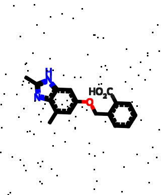 Cc1nc2c(C)cc(OCc3ccccc3C(=O)O)cc2[nH]1